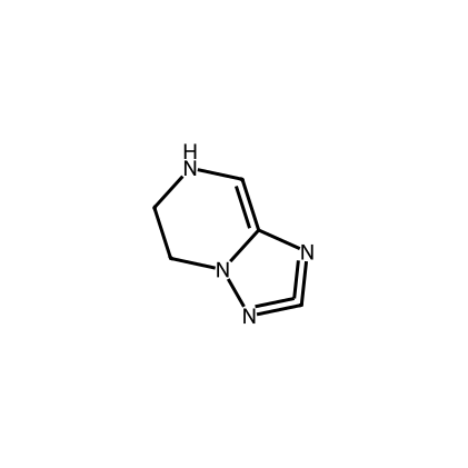 C1=NC2=CNCCN2N=1